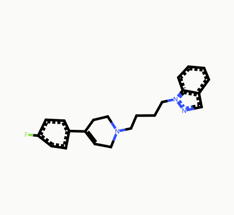 Fc1ccc(C2=CCN(CCCCn3ncc4ccccc43)CC2)cc1